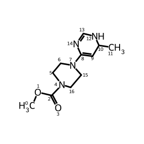 COC(=O)N1CCN(C2=CC(C)NC=N2)CC1